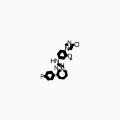 COc1cc(Nc2nc3n(n2)CCCC[C@@H]3c2ccc(F)cc2)ccc1-n1cnc(Cl)c1